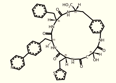 O=C1C[C@@H](O)C(=O)Nc2ccc(cc2)C[C@@H](C(=O)O)NC(=O)[C@@H](Cc2ccccc2)NC(=O)[C@H](Cc2ccc(-c3ccncc3)cc2)NC(=O)[C@@H](Cc2cccs2)N1